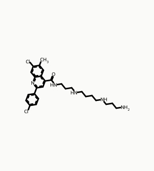 Cc1cc2c(C(=O)NCCCNCCCCNCCCN)cc(-c3ccc(Cl)cc3)nc2cc1Cl